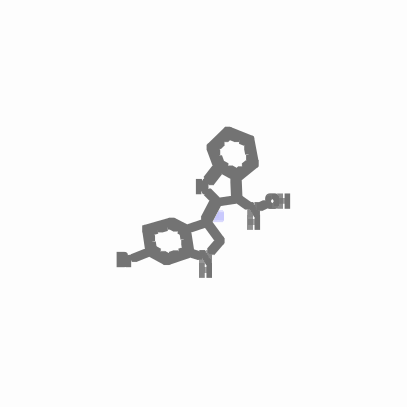 ONC1=c2ccccc2=N/C1=C1/CNc2cc(Br)ccc21